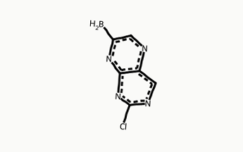 Bc1cnc2cnc(Cl)nc2n1